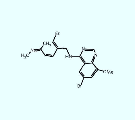 CC/C=C(/C=C\C(C)=N/C)CNc1ncnc2c(OC)cc(Br)cc12